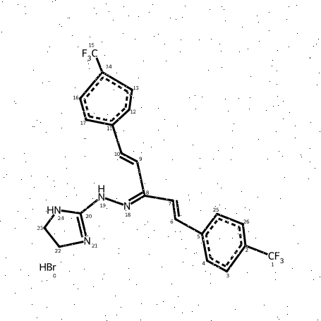 Br.FC(F)(F)c1ccc(/C=C/C(/C=C/c2ccc(C(F)(F)F)cc2)=NNC2=NCCN2)cc1